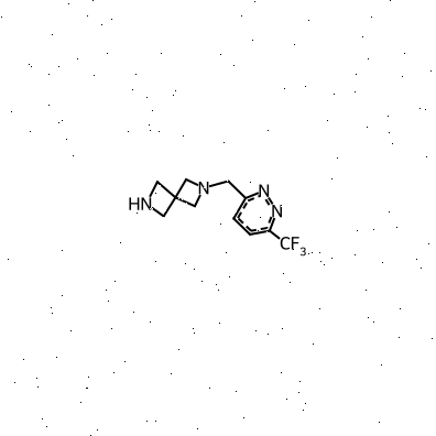 FC(F)(F)c1ccc(CN2CC3(CNC3)C2)nn1